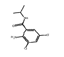 CC(C)NC(=O)c1cc(Cl)cc(Cl)c1N